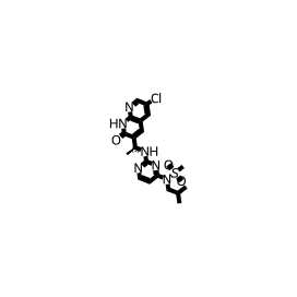 CC(C)CN(c1ccnc(N[C@@H](C)c2cc3cc(Cl)cnc3[nH]c2=O)n1)S(C)(=O)=O